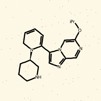 CC(C)Oc1cn2c(C3=CC=CCN3[C@@H]3CCCNC3)cnc2cn1